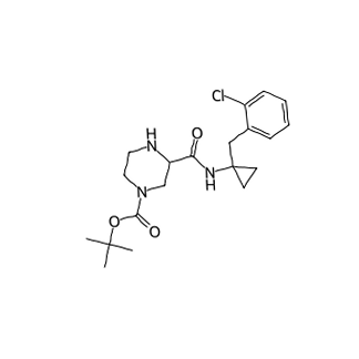 CC(C)(C)OC(=O)N1CCNC(C(=O)NC2(Cc3ccccc3Cl)CC2)C1